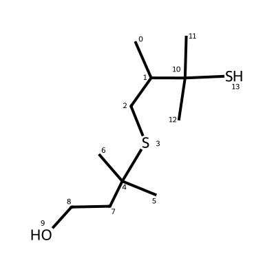 CC(CSC(C)(C)CCO)C(C)(C)S